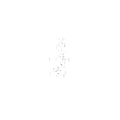 Cc1cnc(COc2cc(C)n(-c3cc(-c4ccnc(C(C)(C)O)n4)ncc3C)c(=O)c2Br)c(F)c1